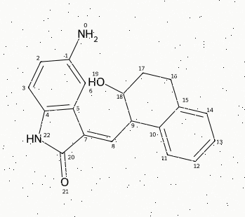 Nc1ccc2c(c1)C(=CC1c3ccccc3CCC1O)C(=O)N2